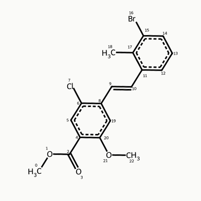 COC(=O)c1cc(Cl)c(C=Cc2cccc(Br)c2C)cc1OC